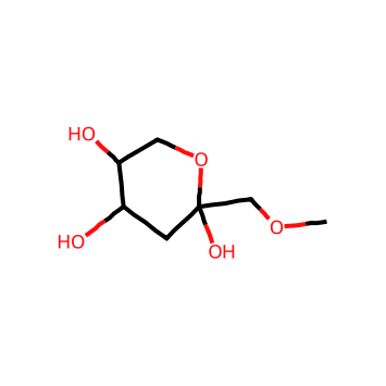 COCC1(O)CC(O)C(O)CO1